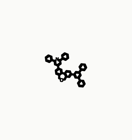 c1ccc(-c2cc(-c3ccccc3)cc(-c3ccc4c(c3)COCc3ccc(-c5cc(-c6ccccc6)nc(-c6ccccc6)c5)cc3-4)c2)cc1